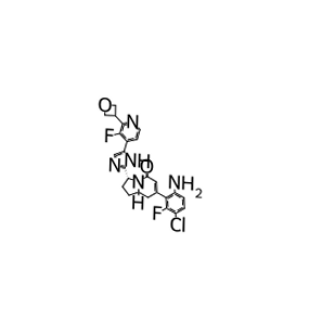 Nc1ccc(Cl)c(F)c1C1=CC(=O)N2[C@@H](CC[C@@H]2c2ncc(-c3ccnc(C4COC4)c3F)[nH]2)C1